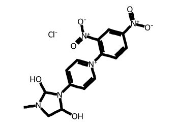 CN1CC(O)N(c2cc[n+](-c3ccc([N+](=O)[O-])cc3[N+](=O)[O-])cc2)C1O.[Cl-]